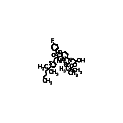 CCCCC(C)(C)c1ccc(CC(N)(c2cccc(N(CC(=O)O)C(=O)OC(C)(C)C)n2)S(=O)(=O)c2ccc(F)cc2)s1